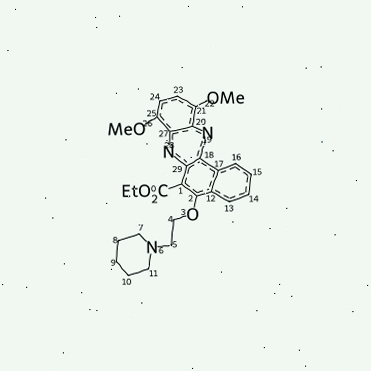 CCOC(=O)c1c(OCCN2CCCCC2)c2ccccc2c2nc3c(OC)ccc(OC)c3nc12